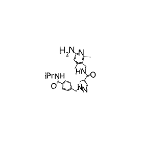 Cc1cc(N)nc(C)c1CNC(=O)C1C=NN(Cc2ccc(C(=O)NC(C)C)cc2)C1